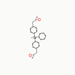 C[Si](c1ccccc1)(c1ccc(CC2CO2)cc1)c1ccc(CC2CO2)cc1